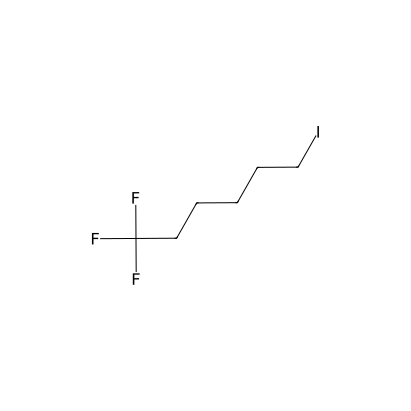 FC(F)(F)CCCCCI